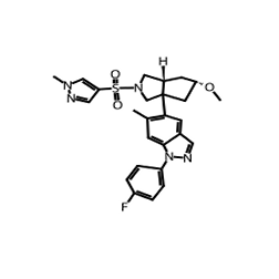 CO[C@H]1C[C@H]2CN(S(=O)(=O)c3cnn(C)c3)CC2(c2cc3cnn(-c4ccc(F)cc4)c3cc2C)C1